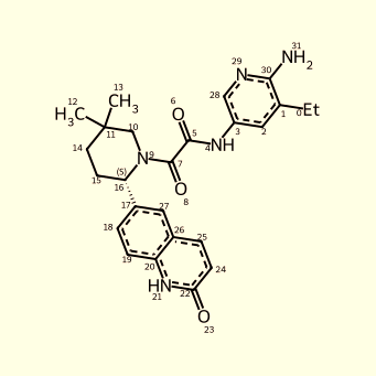 CCc1cc(NC(=O)C(=O)N2CC(C)(C)CC[C@H]2c2ccc3[nH]c(=O)ccc3c2)cnc1N